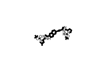 CC1=CC(c2ncc(-c3ccc4cc(C#Cc5cnc(C6CCCN6C(=O)OC(C)(C)C)[nH]5)ccc4c3)[nH]2)N(C(=O)OC(C)(C)C)C1